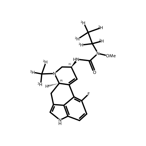 [2H]C([2H])([2H])N1C[C@@H](NC(=O)N(OC)C([2H])([2H])C([2H])([2H])[2H])C=C2c3c(F)ccc4[nH]cc(c34)C[C@H]21